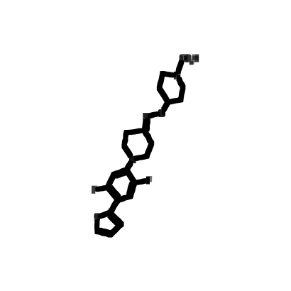 O=C(O)N1CCC(ON=C2CCN(c3cc(F)c(-c4cccs4)cc3F)CC2)CC1